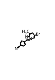 Cc1cc(Br)cn2cc(-c3ccc(C#N)cc3)nc12